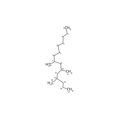 CCCCCC[CH]C(C)CC(C)CC(C)CCC